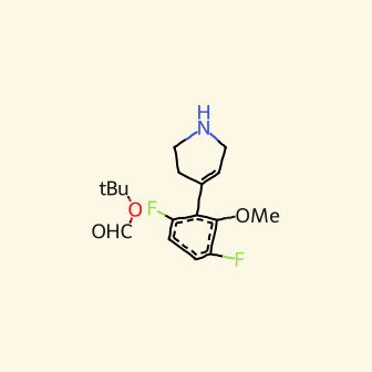 CC(C)(C)OC=O.COc1c(F)ccc(F)c1C1=CCNCC1